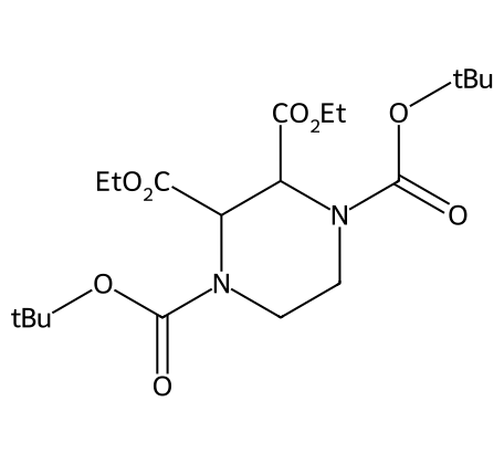 CCOC(=O)C1C(C(=O)OCC)N(C(=O)OC(C)(C)C)CCN1C(=O)OC(C)(C)C